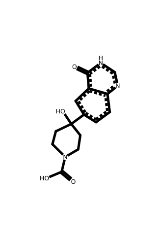 O=C(O)N1CCC(O)(c2ccc3nc[nH]c(=O)c3c2)CC1